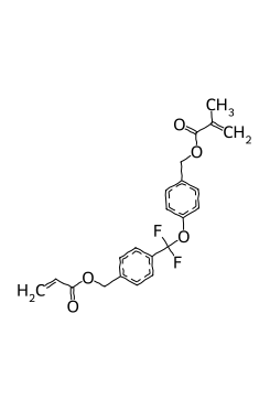 C=CC(=O)OCc1ccc(C(F)(F)Oc2ccc(COC(=O)C(=C)C)cc2)cc1